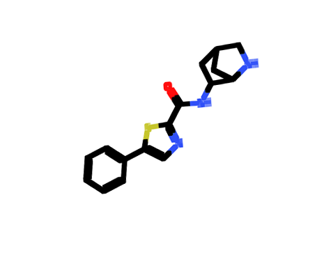 O=C(NC1CC2CNC1C2)c1ncc(-c2ccccc2)s1